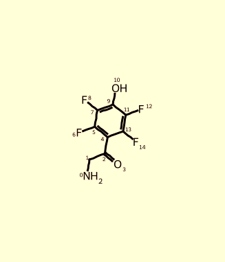 NCC(=O)c1c(F)c(F)c(O)c(F)c1F